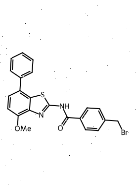 COc1ccc(-c2ccccc2)c2sc(NC(=O)c3ccc(CBr)cc3)nc12